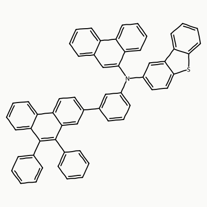 c1ccc(-c2c(-c3ccccc3)c3cc(-c4cccc(N(c5ccc6sc7ccccc7c6c5)c5cc6ccccc6c6ccccc56)c4)ccc3c3ccccc23)cc1